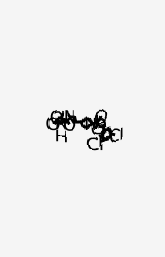 Cc1oc(=O)[nH]c1C(=O)N(C)CCC1CCN(C(=O)OCc2cc(Cl)cc(Cl)c2)CC1